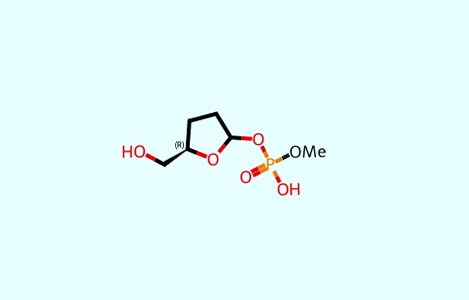 COP(=O)(O)OC1CC[C@H](CO)O1